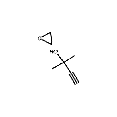 C#CC(C)(C)O.C1CO1